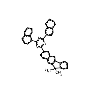 CC1(C)c2ccccc2-c2cc3cc(-c4nc(-c5ccc6ccccc6c5)nc(-c5cccc6ccccc56)n4)ccc3cc21